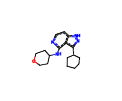 c1cc2[nH]nc(C3CCCCC3)c2c(NC2CCOCC2)n1